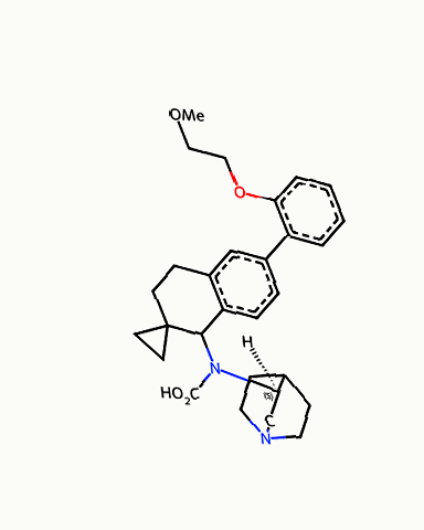 COCCOc1ccccc1-c1ccc2c(c1)CCC1(CC1)C2N(C(=O)O)[C@@H]1CN2CCC1CC2